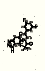 C[C@H](NC(=O)C(C)(F)F)[C@H](Oc1ccc2[nH]nnc2c1)c1cc(F)cc(F)c1